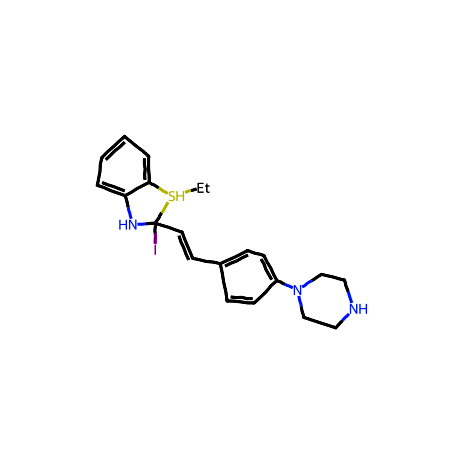 CC[SH]1c2ccccc2NC1(I)C=Cc1ccc(N2CCNCC2)cc1